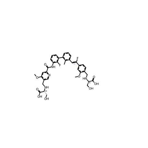 COc1cc(/C(F)=C/c2cccc(-c3cccc(NC(=O)c4cc(OC)c(CN[C@H](CO)C(=O)O)cn4)c3F)c2C)ccc1CN[C@H](CO)C(=O)O